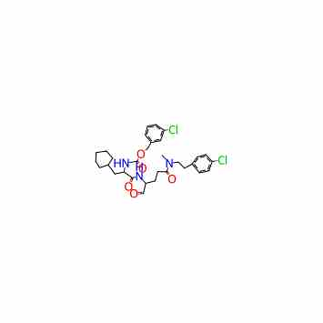 CN(CCc1ccc(Cl)cc1)C(=O)CCC(C=O)NC(=O)C(CC1CCCCC1)NC(=O)OCc1cccc(Cl)c1